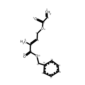 C=CC(=O)OCC=C(C)C(=O)OCc1ccccc1